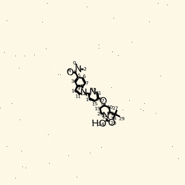 CN(C)C(=O)c1ccc2c(ccn2-c2ccc(OC3CCN(C(=O)O)C(C(C)(C)C)C3)cn2)c1